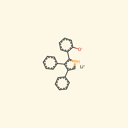 [Li+].[O-]c1ccccc1-c1[pH]cc(-c2ccccc2)c1-c1ccccc1